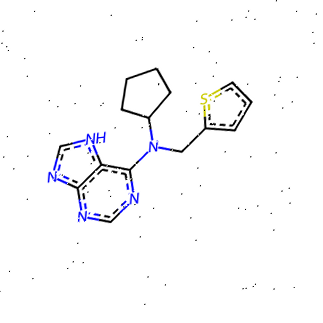 c1csc(CN(c2ncnc3nc[nH]c23)C2CCCC2)c1